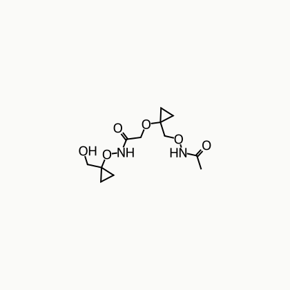 CC(=O)NOCC1(OCC(=O)NOC2(CO)CC2)CC1